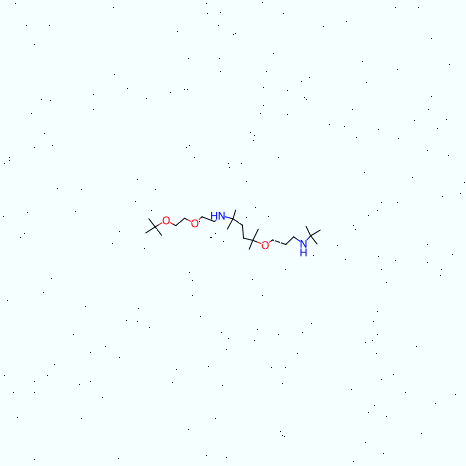 CC(C)(C)NCCCOC(C)(C)CCC(C)(C)NCCOCCOC(C)(C)C